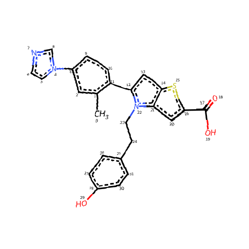 Cc1cc(-n2ccnc2)ccc1-c1cc2sc(C(=O)O)cc2n1CCc1ccc(O)cc1